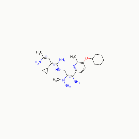 C/C(N)=C/C(=C(\N)NC/C(=C(/N)c1ccc(OC2CCCCC2)c(C)n1)N(C)N)C1CC1